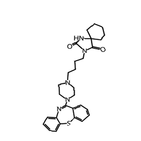 O=C1NC2(CCCCC2)C(=O)N1CCCCN1CCN(C2=Nc3ccccc3Sc3ccccc32)CC1